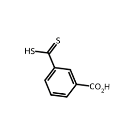 O=C(O)c1cccc(C(=S)S)c1